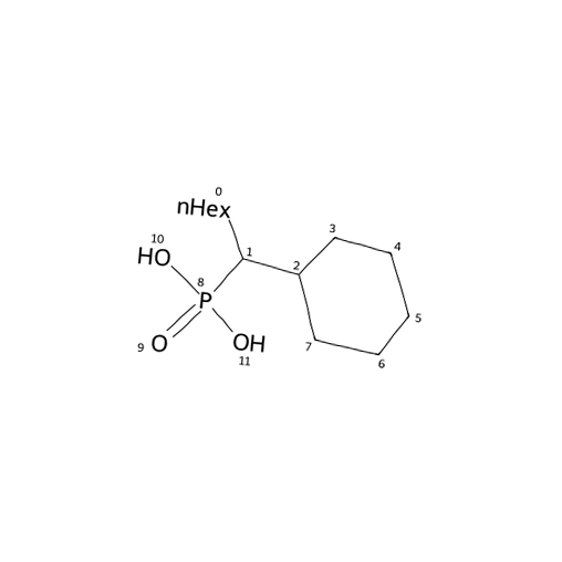 CCCCCCC(C1CCCCC1)P(=O)(O)O